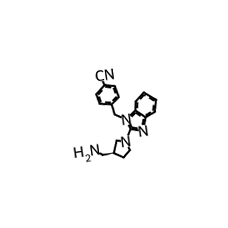 N#Cc1ccc(Cn2c(N3CC[C@@H](CN)C3)nc3ccccc32)cc1